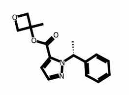 C[C@H](c1ccccc1)n1nccc1C(=O)OC1(C)COC1